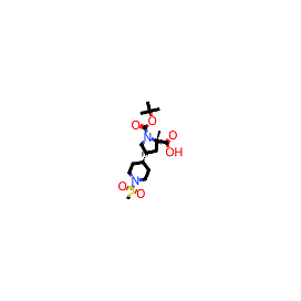 CC(C)(C)OC(=O)N1C[C@@H](C2CCN(S(C)(=O)=O)CC2)C[C@@]1(C)C(=O)O